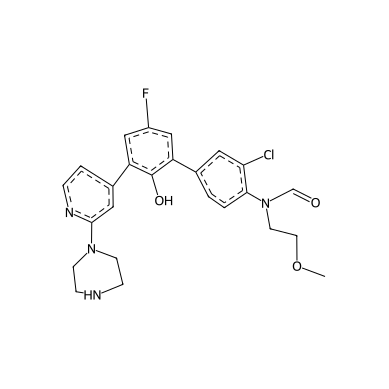 COCCN(C=O)c1ccc(-c2cc(F)cc(-c3ccnc(N4CCNCC4)c3)c2O)cc1Cl